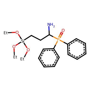 CCO[Si](CCC(N)P(=O)(c1ccccc1)c1ccccc1)(OCC)OCC